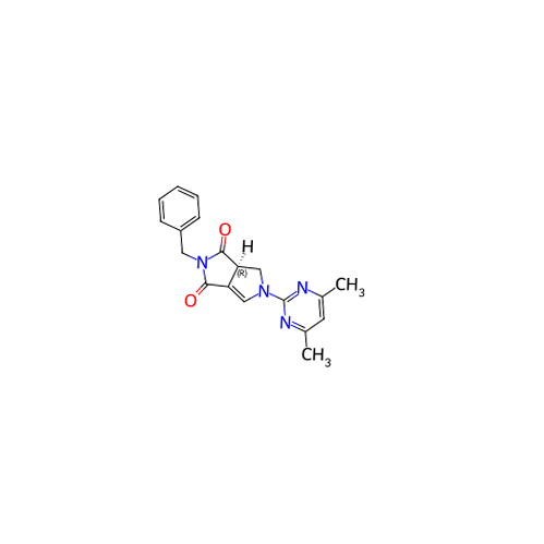 Cc1cc(C)nc(N2C=C3C(=O)N(Cc4ccccc4)C(=O)[C@H]3C2)n1